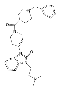 CN(C)CCn1c(=O)n(C2=CCN(C(=O)C3CCN(Cc4ccncc4)CC3)CC2)c2ccccc21